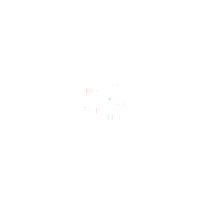 Cl.O[Si](O)(O)O.[AlH3]